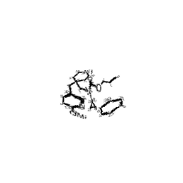 C=CCOC(=O)N(CC1(Cc2ccc(OC)nc2)CCNCC1)[C@@H]1C[C@H]1c1ccccc1